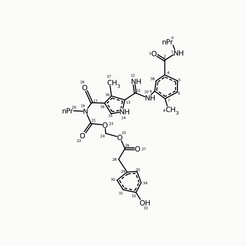 CCCNC(=O)c1ccc(C)c(NC(=N)c2[nH]cc(C(=O)N(CCC)C(=O)OCOC(=O)Cc3ccc(O)cc3)c2C)c1